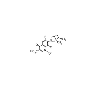 CC12CN(c3c(F)cc4c(=O)c(C(=O)O)cn(C5CC5)c4c3Cl)CC1CC2N